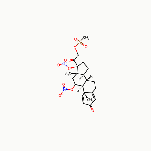 C[C@]12C=CC(=O)C=C1CC[C@@H]1[C@@H]2[C@@H](O[N+](=O)[O-])C[C@@]2(C)[C@H]1CC[C@@]2(O[N+](=O)[O-])C(=O)COS(C)(=O)=O